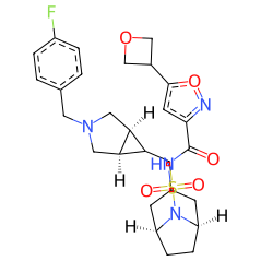 O=C(NC1C[C@H]2CC[C@@H](C1)N2S(=O)(=O)CC1[C@H]2CN(Cc3ccc(F)cc3)C[C@@H]12)c1cc(C2COC2)on1